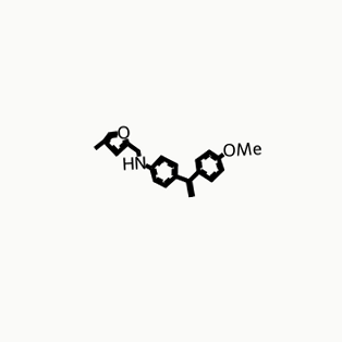 C=C(c1ccc(NCc2cc(C)co2)cc1)c1ccc(OC)cc1